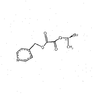 C[C@@H](OC(=O)C(=O)OCc1ccncc1)C(C)(C)C